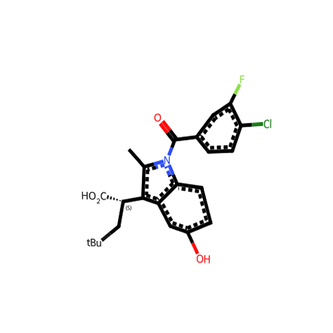 Cc1c([C@H](CC(C)(C)C)C(=O)O)c2cc(O)ccc2n1C(=O)c1ccc(Cl)c(F)c1